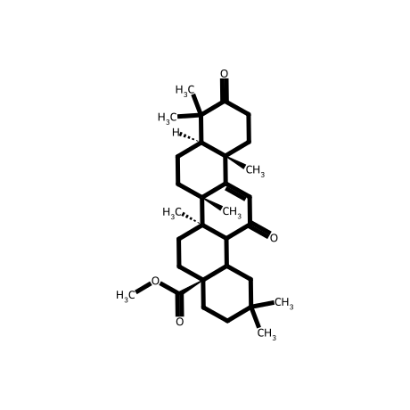 COC(=O)[C@]12CCC(C)(C)CC1C1C(=O)C=C3[C@@]4(C)CCC(=O)C(C)(C)[C@@H]4CC[C@@]3(C)[C@]1(C)CC2